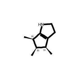 C[C@@H]1[C@H](C)C2=C(NCC2)[C@@H]1C